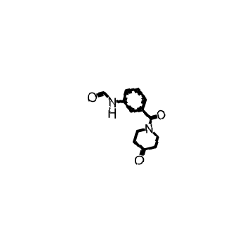 O=CNc1cccc(C(=O)N2CCC(=O)CC2)c1